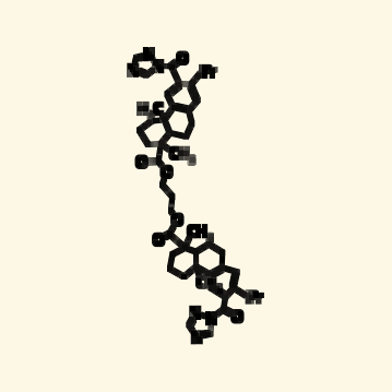 CC(C)c1cc2c(cc1C(=O)n1cncn1)C1(C)CCCC(C)(C(=O)OCCCOC(=O)C3(C)CCCC4(C)c5cc(C(=O)n6cncn6)c(C(C)C)cc5CCC34)C1CC2